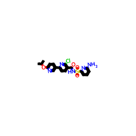 CC(C)Oc1ccc(-c2ccc(C(=O)NS(=O)(=O)c3cccc(N)n3)c(Cl)n2)cn1